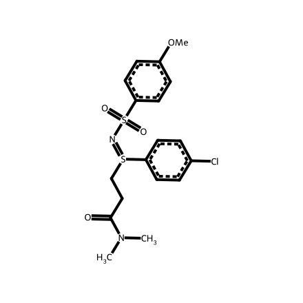 COc1ccc(S(=O)(=O)N=S(CCC(=O)N(C)C)c2ccc(Cl)cc2)cc1